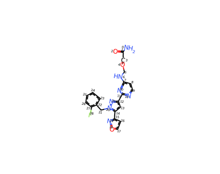 NC(=O)COCNc1ccnc(-c2cc(-c3ccon3)n(Cc3ccccc3F)n2)n1